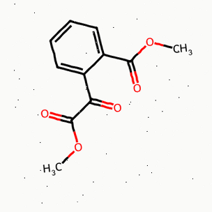 COC(=O)C(=O)c1ccccc1C(=O)OC